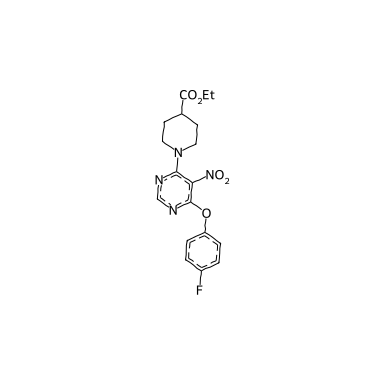 CCOC(=O)C1CCN(c2ncnc(Oc3ccc(F)cc3)c2[N+](=O)[O-])CC1